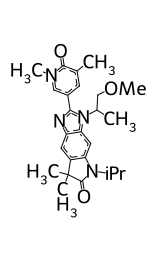 COCC(C)n1c(-c2cc(C)c(=O)n(C)c2)nc2cc3c(cc21)N(C(C)C)C(=O)C3(C)C